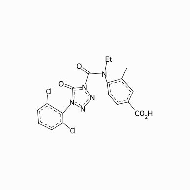 CCN(C(=O)n1nnn(-c2c(Cl)cccc2Cl)c1=O)c1ccc(C(=O)O)cc1C